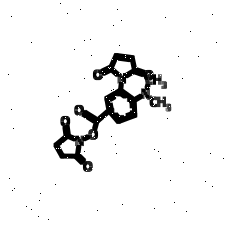 CN(C)c1ccc(C(=O)ON2C(=O)CCC2=O)cc1N1C(=O)C=CC1=O